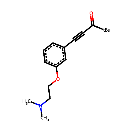 CN(C)CCOc1cccc(C#CC(=O)C(C)(C)C)c1